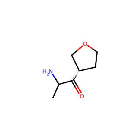 CC(N)C(=O)[C@H]1CCOC1